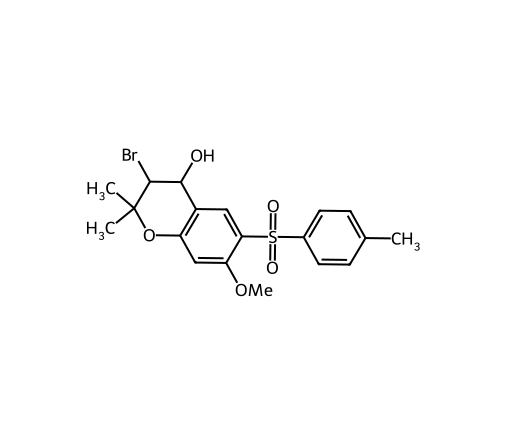 COc1cc2c(cc1S(=O)(=O)c1ccc(C)cc1)C(O)C(Br)C(C)(C)O2